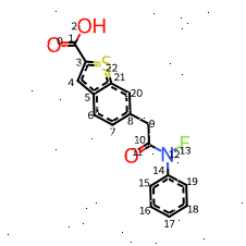 O=C(O)c1cc2ccc(CC(=O)N(F)c3ccccc3)cc2s1